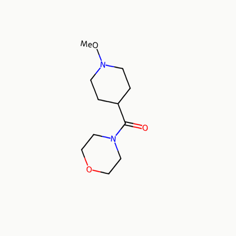 CON1CCC(C(=O)N2CCOCC2)CC1